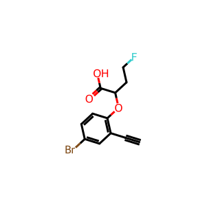 C#Cc1cc(Br)ccc1OC(CCF)C(=O)O